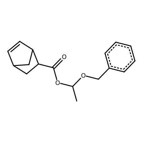 CC(OCc1ccccc1)OC(=O)C1CC2C=CC1C2